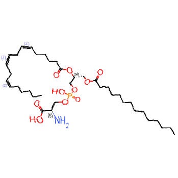 CCCCC/C=C\C/C=C\C/C=C\CCCCC(=O)O[C@H](COC(=O)CCCCCCCCCCCCC)COP(=O)(O)OC[C@H](N)C(=O)O